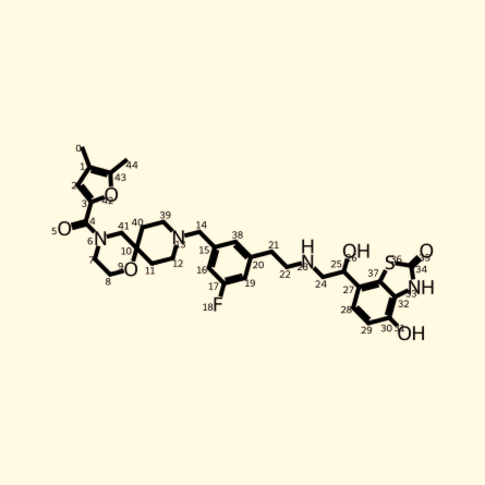 Cc1cc(C(=O)N2CCOC3(CCN(Cc4cc(F)cc(CCNCC(O)c5ccc(O)c6[nH]c(=O)sc56)c4)CC3)C2)oc1C